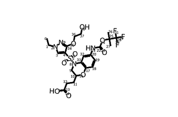 CCn1cc(S(=O)(=O)N2CC(CCC(=O)O)Oc3ccc(NC(=O)OC(C)(C)C(F)(F)F)cc32)c(OCCO)n1